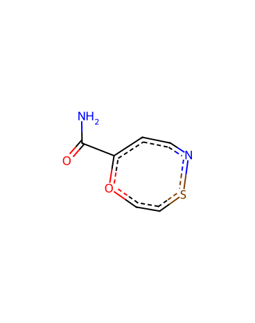 NC(=O)c1ccnscco1